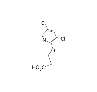 O=C(O)CCOc1ncc(Cl)cc1Cl